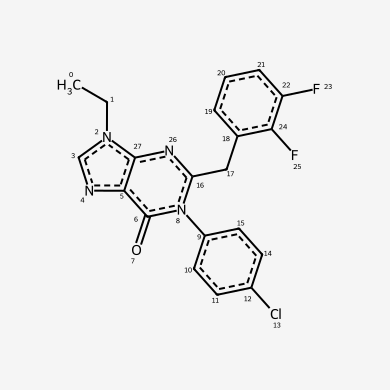 CCn1cnc2c(=O)n(-c3ccc(Cl)cc3)c(Cc3cccc(F)c3F)nc21